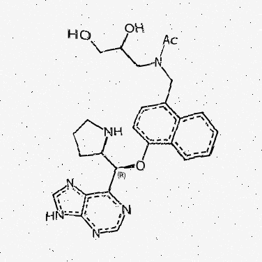 CC(=O)N(Cc1ccc(O[C@@H](c2ncnc3[nH]cnc23)C2CCCN2)c2ccccc12)CC(O)CO